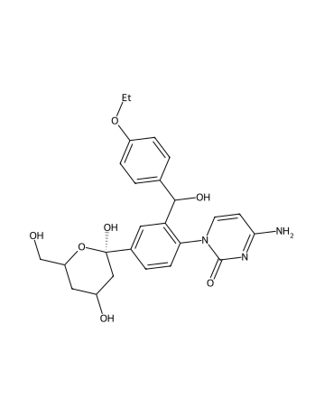 CCOc1ccc(C(O)c2cc([C@@]3(O)CC(O)CC(CO)O3)ccc2-n2ccc(N)nc2=O)cc1